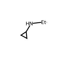 C[CH]NC1CC1